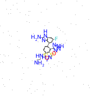 NCCN[S+]([O-])c1ccc(-c2cc(F)cc3[nH]c(N)nc23)c(-c2nn[nH]n2)c1[S+](N)[O-]